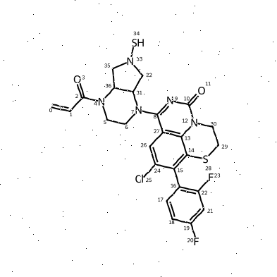 C=CC(=O)N1CCN(c2nc(=O)n3c4c(c(-c5ccc(F)cc5F)c(Cl)cc24)SCC3)C2CN(S)CC21